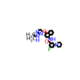 CC(C)Nc1nccc(Oc2ccc(NC(=O)c3cc(F)cc(N4CCCCC4)c3)c3ccccc23)n1